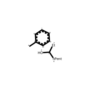 CCCCCC(O)CC.Cc1ccccc1